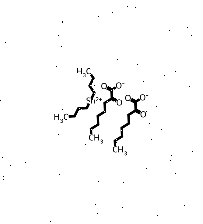 CCCCCCC(=O)C(=O)[O-].CCCCCCC(=O)C(=O)[O-].CCC[CH2][Sn+2][CH2]CCC